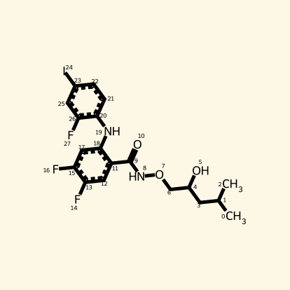 CC(C)CC(O)CONC(=O)c1cc(F)c(F)cc1Nc1ccc(I)cc1F